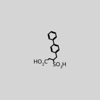 O=C(O)CC(Cc1ccc(-c2ccccc2)cc1)S(=O)(=O)O